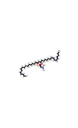 CCC/C=C\C/C=C\CCCCCCCCC(CCCCCCCC/C=C\C/C=C\CCCC)OC(=O)CN(C)C